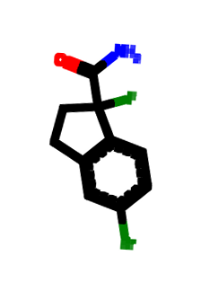 NC(=O)C1(F)CCc2cc(Br)ccc21